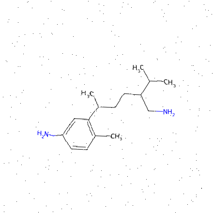 Cc1ccc(N)cc1C(C)CCC(CN)C(C)C